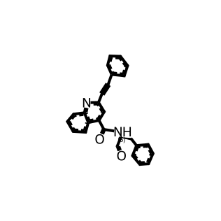 O=C[C@H](Cc1ccccc1)NC(=O)c1cc(C#Cc2ccccc2)nc2ccccc12